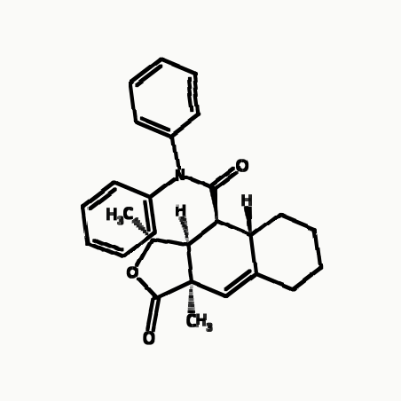 C[C@H]1OC(=O)[C@]2(C)C=C3CCCC[C@H]3[C@H](C(=O)N(c3ccccc3)c3ccccc3)[C@H]12